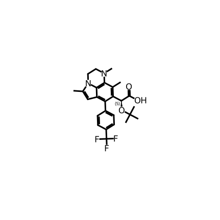 Cc1c([C@H](OC(C)(C)C)C(=O)O)c(-c2ccc(C(F)(F)F)cc2)c2cc(C)n3c2c1N(C)CC3